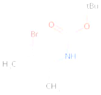 CC(Br)C(C)NC(=O)OC(C)(C)C